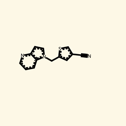 N#Cc1csc(Cn2ccc3ncccc32)c1